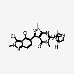 Cn1nc2ccc(-c3n[nH]c4nc(N5CN6C[C@@H]5[C@@H]6N)n(C)c(=O)c34)c(Cl)c2c1Cl